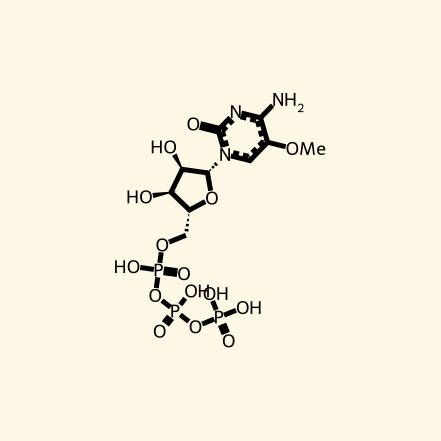 COc1cn([C@@H]2O[C@H](COP(=O)(O)OP(=O)(O)OP(=O)(O)O)[C@@H](O)[C@H]2O)c(=O)nc1N